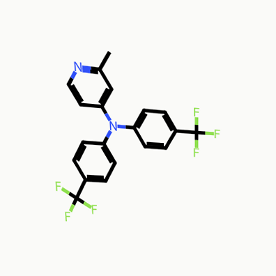 Cc1cc(N(c2ccc(C(F)(F)F)cc2)c2ccc(C(F)(F)F)cc2)ccn1